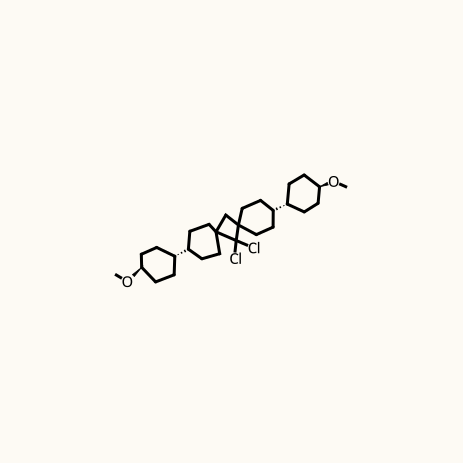 CO[C@H]1CC[C@H](C2CCC3(CC2)CC2(CCC([C@H]4CC[C@H](OC)CC4)CC2)C3(Cl)Cl)CC1